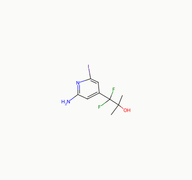 CC(C)(O)C(F)(F)c1cc(N)nc(I)c1